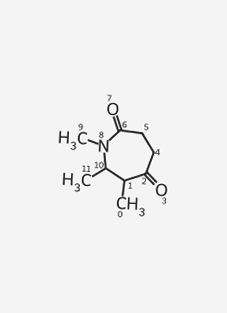 CC1C(=O)CCC(=O)N(C)C1C